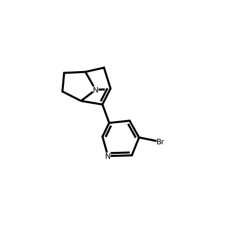 CN1C2CC=C(c3cncc(Br)c3)C1CC2